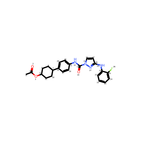 CC(=O)OC1CCC(c2ccc(NC(=O)n3ccc(Nc4ccccc4F)n3)cc2)CC1